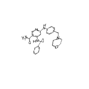 NC(=O)c1cnc(Nc2ccc(CN3CCOCC3)cc2)cc1NC1(c2ccccc2)CC1